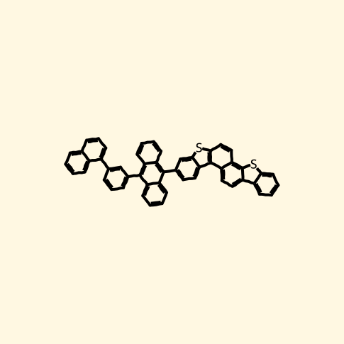 c1cc(-c2cccc3ccccc23)cc(-c2c3ccccc3c(-c3ccc4c(c3)sc3ccc5c(ccc6c7ccccc7sc65)c34)c3ccccc23)c1